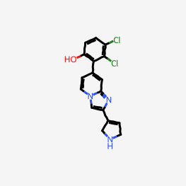 Oc1ccc(Cl)c(Cl)c1-c1ccn2cc(C3=CCNC3)nc2c1